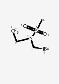 CC[C@H](C)CN(CC(F)(F)F)S(C)(=O)=O